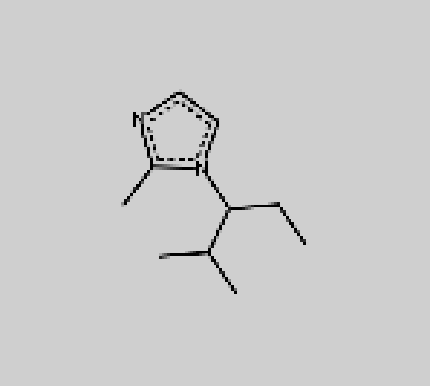 CCC(C(C)C)n1ccnc1C